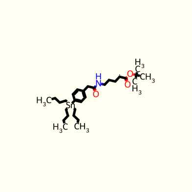 CCC[CH2][Sn]([CH2]CCC)([CH2]CCC)[c]1ccc(CC(=O)NCCC[CH]C(=O)OC(C)(C)C)cc1